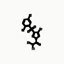 CCN(CC)C(=O)n1cc(Br)c(S(=O)(=O)c2cc(Cl)ccc2Cl)n1